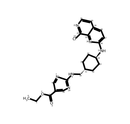 CCOC(=O)c1cnc(NC[C@H]2CC[C@H](Nc3ccc4ccnc(Cl)c4n3)CC2)nc1